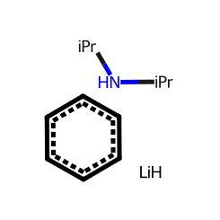 CC(C)NC(C)C.[LiH].c1ccccc1